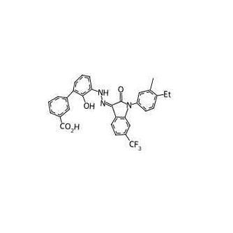 CCc1ccc(N2C(=O)C(=NNc3cccc(-c4cccc(C(=O)O)c4)c3O)c3ccc(C(F)(F)F)cc32)cc1C